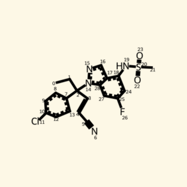 CCC(C=CC#N)(c1ccc(Cl)cc1)n1ncc2c(NS(C)(=O)=O)cc(F)cc21